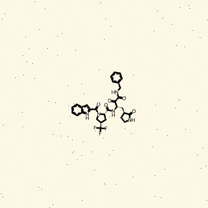 O=C(NCc1ccccc1)C(=O)[C@H](C[C@@H]1CCNC1=O)NC(=O)[C@@H]1C[C@@H](C(F)(F)F)CN1C(=O)c1cc2ccccc2[nH]1